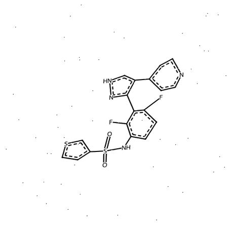 O=S(=O)(Nc1ccc(F)c(-c2n[nH]cc2-c2ccncc2)c1F)c1ccsc1